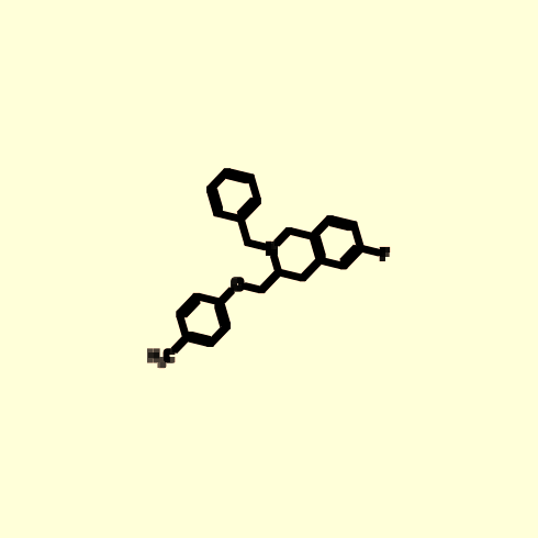 Cc1ccc(OCC2Cc3cc(F)ccc3CN2Cc2ccccc2)cc1